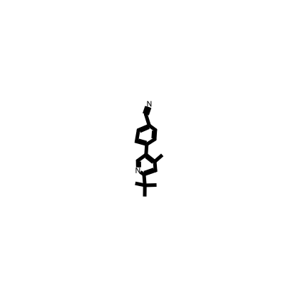 Cc1cc(C(C)(C)C)ncc1-c1ccc(C#N)cc1